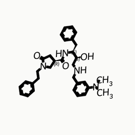 CN(C)c1cccc(CNC[C@H](O)[C@H](Cc2ccccc2)NC(=O)[C@@H]2CC(=O)N(CCc3ccccc3)C2)c1